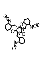 O=C=NC1CCCCC1Cn1c(=O)n(CC2CCCCC2N=C=O)c(=O)n(CC2CCCCC2N=C=O)c1=O